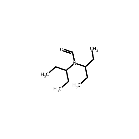 CCC(CC)N(C=O)C(CC)CC